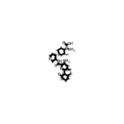 C[C@H]1C[C@H](c2ccncc2NC(=O)c2nc(-c3c(F)cccc3F)c(F)cc2N)CCC1N(N)C(=O)O